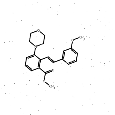 COC(=O)c1cccc(N2CCOCC2)c1C=Cc1cccc(OC)c1